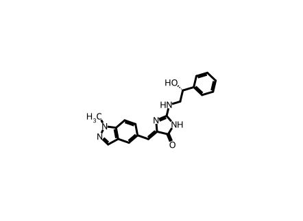 Cn1ncc2cc(/C=C3\N=C(NC[C@H](O)c4ccccc4)NC3=O)ccc21